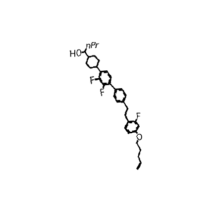 C=CCCCOc1ccc(CCc2ccc(-c3ccc(C4CCC(C(O)CCC)CC4)c(F)c3F)cc2)c(F)c1